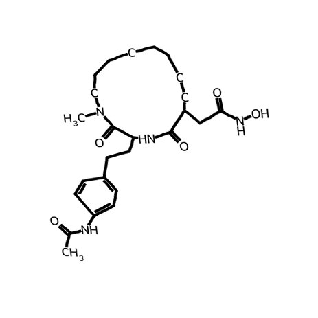 CC(=O)Nc1ccc(CCC2NC(=O)C(CC(=O)NO)CCCCCCCCN(C)C2=O)cc1